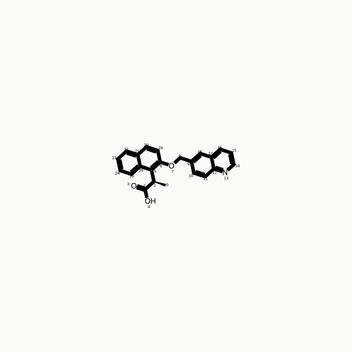 C[C@@H](C(=O)O)c1c(OCc2ccc3ncccc3c2)ccc2ccccc12